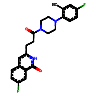 N#Cc1cc(F)ccc1N1CCN(C(=O)CCc2cc3ccc(F)cc3c(=O)[nH]2)CC1